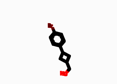 OCC1CC(c2ccc(Br)cc2)C1